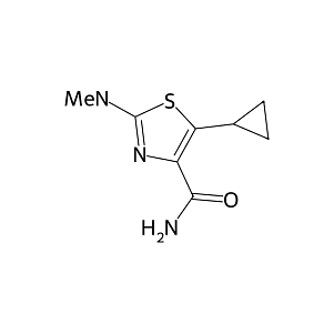 CNc1nc(C(N)=O)c(C2CC2)s1